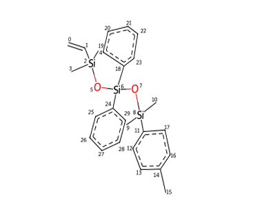 C=C[Si](C)(C)O[Si](O[Si](C)(C)c1ccc(C)cc1)(c1ccccc1)c1ccccc1